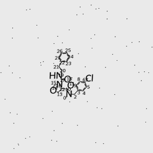 CN(Cc1ccc(Cl)cc1)C(=O)C1COCN1C(=O)NCCc1ccccc1